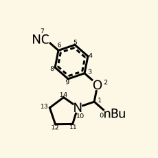 CCCCC(Oc1ccc(C#N)cc1)N1CCCC1